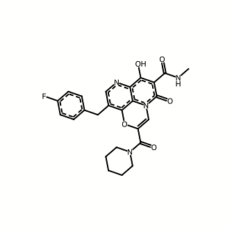 CNC(=O)c1c(O)c2ncc(Cc3ccc(F)cc3)c3c2n(c1=O)C=C(C(=O)N1CCCCC1)O3